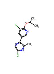 Cc1nc(Cl)cnc1-c1cnc(OC(C)C(F)(F)F)c(F)c1